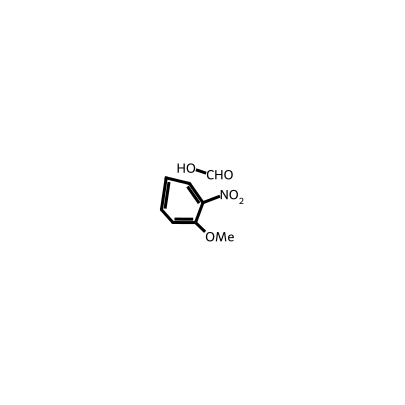 COc1ccccc1[N+](=O)[O-].O=CO